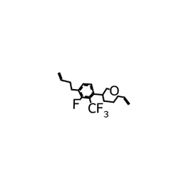 C=CCCc1ccc(C2CCC(C=C)OC2)c(C(F)(F)F)c1F